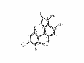 CC(=O)c1c(C)oc2c(-n3c(=O)cc(C(F)(F)F)n(C)c3=O)c(F)cc(Cl)c12